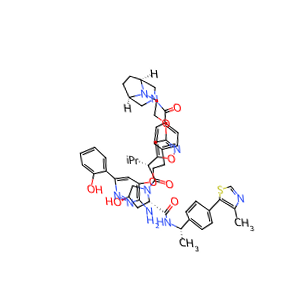 Cc1ncsc1-c1ccc([C@H](C)NC(=O)[C@@H]2C[C@@H](O)CN2C(=O)[C@@H](c2cc(OCCN3[C@@H]4CC[C@H]3CN(C(=O)c3ccc(CCOc5cc(-c6ccccc6O)nnc5N)cc3)C4)no2)C(C)C)cc1